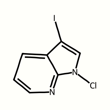 Cln1cc(I)c2cccnc21